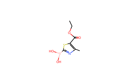 CCOC(=O)c1sc(B(O)O)nc1C